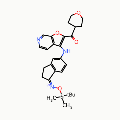 CC(C)(C)[Si](C)(C)O/N=C1/CCc2cc(Nc3c(C(=O)C4CCOCC4)oc4cnccc34)ccc21